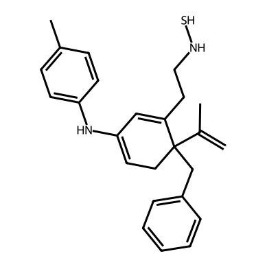 C=C(C)C1(Cc2ccccc2)CC=C(Nc2ccc(C)cc2)C=C1CCNS